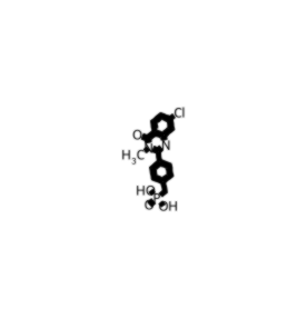 Cn1c(-c2ccc(CP(=O)(O)O)cc2)nc2cc(Cl)ccc2c1=O